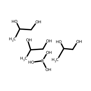 CC(O)CO.CC(O)CO.CC(O)CO.OB(O)O